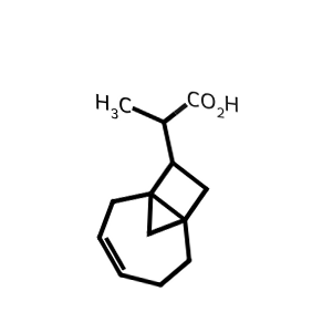 CC(C(=O)O)C1CC23CCC=CCC12C3